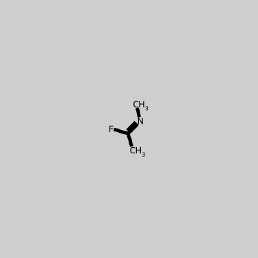 CN=C(C)F